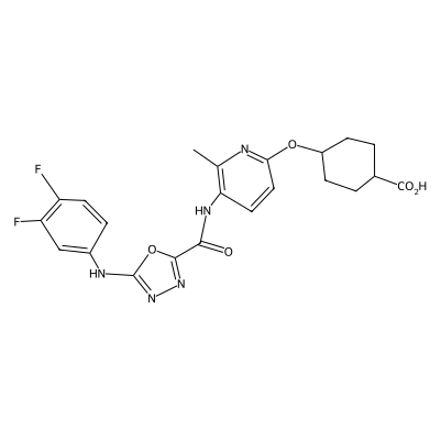 Cc1nc(OC2CCC(C(=O)O)CC2)ccc1NC(=O)c1nnc(Nc2ccc(F)c(F)c2)o1